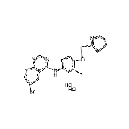 Cc1cc(Nc2ncnc3ccc(Br)cc23)ccc1OCc1ccccn1.Cl.Cl